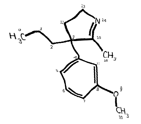 CCCC1(c2cccc(OC)c2)CCN=C1C